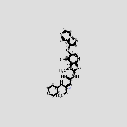 CC/C(=C/C(=N)Nc1nc2ncc(Oc3cnn4ccncc34)c(Cl)c2n1C)NC1CCOCC1